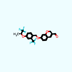 C[C@H](Oc1ccc(COc2ccc3c(c2)OCC(C=O)=C3)c(C(F)(F)F)c1)C(F)(F)F